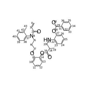 C=CC(=O)N(CCCOc1ccccc1OC(=O)C(C)CNc1ccccc1OC(=O)c1ccccc1)c1ccccc1C